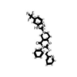 O=c1c2c(nc(SCc3ccccn3)n1-c1ccccc1)CCN(c1nc3ccc(C(F)(F)F)cc3[nH]1)C2